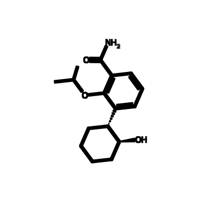 CC(C)Oc1c(C(N)=O)cccc1[C@H]1CCCC[C@@H]1O